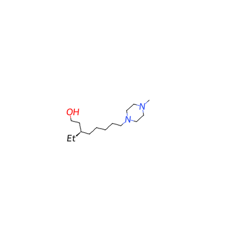 CC[C@@H](CCO)CCCCCN1CCN(C)CC1